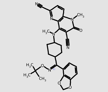 CN(c1c(C#N)c(=O)n(C)c2ccc(C#N)nc12)C1CCC(/C(=N\OC(C)(C)C)c2cccc3c2OCO3)CC1